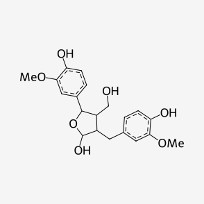 COc1cc(CC2C(O)OC(c3ccc(O)c(OC)c3)C2CO)ccc1O